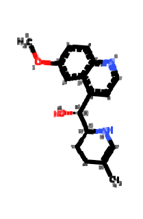 COc1ccc2nccc([C@@H](O)[C@@H]3CCC(C)=CN3)c2c1